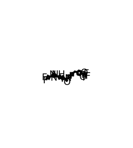 O=C(N1CC2(CC(Cc3ccc(S(=O)(=O)C(F)(F)F)cc3)C2)C1)N1CC2(CC(c3nc(C4CC(F)(F)C4)n[nH]3)C2)C1